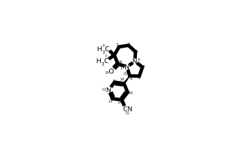 CC1(C)CCCN2CC[C@@H](c3cncc(C#N)c3)N2C1=O